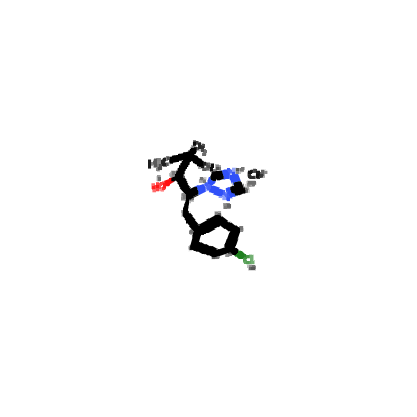 CC(C)(C)[C@H](O)[C@H](Cc1ccc(Cl)cc1)n1cncn1.[Cu]